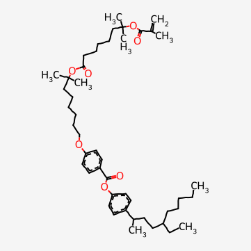 C=C(C)C(=O)OC(C)(C)CCCCCC(=O)OC(C)(C)CCCCCCOc1ccc(C(=O)Oc2ccc(C(C)CCC(CC)CCCCC)cc2)cc1